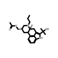 CCCN1C[C@H](COC(C)=O)CC2c3cccc4[nH]c(C(C)(C)O)c(c34)C[C@H]21